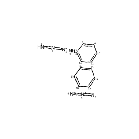 N.[N-]=[N+]=N.[N-]=[N+]=[N-].c1ccccc1.c1ccccc1